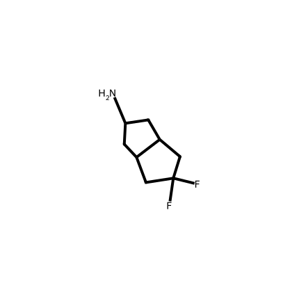 NC1CC2CC(F)(F)CC2C1